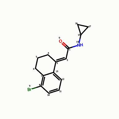 O=C(/C=C1\CCCc2c(Br)cccc21)NC1CC1